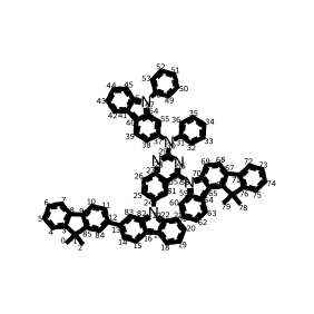 CC1(C)c2ccccc2-c2ccc(-c3ccc4c5ccccc5n(-c5ccc6nc(N(c7ccccc7)c7ccc8c9ccccc9n(-c9ccccc9)c8c7)nc(-n7c8ccccc8c8c9c(ccc87)-c7ccccc7C9(C)C)c6c5)c4c3)cc21